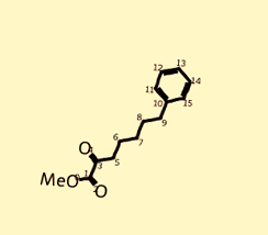 COC(=O)C(=O)CCCCCc1ccccc1